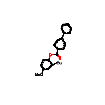 COc1ccc(OC(=O)c2ccc(-c3ccccc3)cc2)c(C(C)(C)C)c1